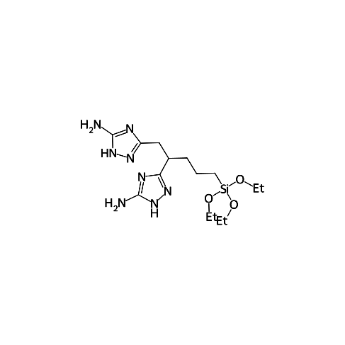 CCO[Si](CCCC(Cc1n[nH]c(N)n1)c1n[nH]c(N)n1)(OCC)OCC